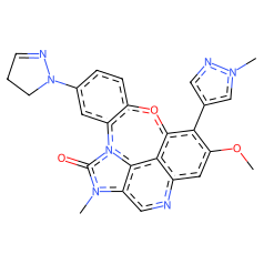 COc1cc2ncc3c4c2c(oc2ccc(N5CCC=N5)cc2n4c(=O)n3C)c1-c1cnn(C)c1